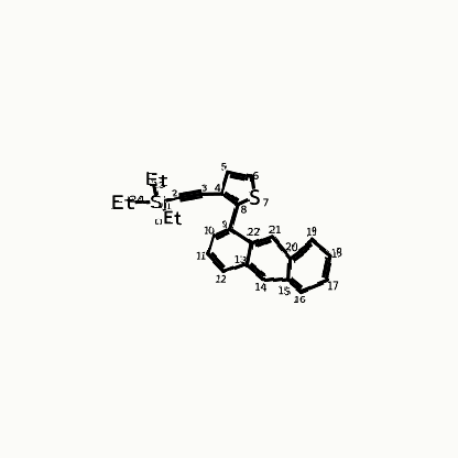 CC[Si](C#Cc1ccsc1-c1cccc2cc3ccccc3cc12)(CC)CC